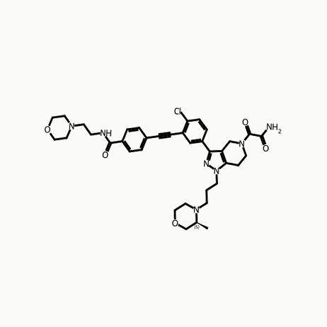 C[C@H]1COCCN1CCCn1nc(-c2ccc(Cl)c(C#Cc3ccc(C(=O)NCCN4CCOCC4)cc3)c2)c2c1CCN(C(=O)C(N)=O)C2